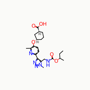 CCC(C)OC(=O)NCc1c(-c2ccc(O[C@H]3CCC[C@H](C(=O)O)C3)c(C)n2)nnn1C